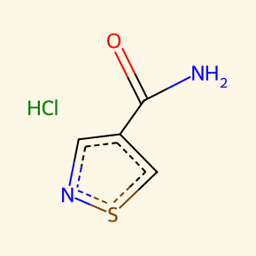 Cl.NC(=O)c1cnsc1